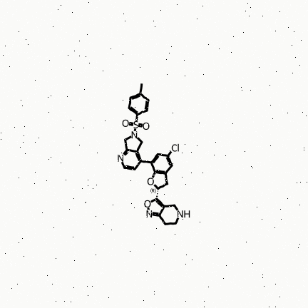 Cc1ccc(S(=O)(=O)N2Cc3nccc(-c4cc(Cl)cc5c4O[C@@H](c4onc6c4CNCC6)C5)c3C2)cc1